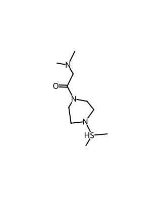 CN(C)CC(=O)N1CCN([SH](C)C)CC1